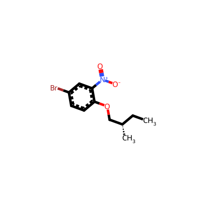 CC[C@H](C)COc1ccc(Br)cc1[N+](=O)[O-]